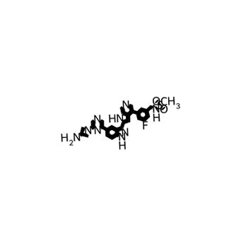 CS(=O)(=O)NCc1cc(F)cc(-c2cncc3[nH]c(-c4n[nH]c5ccc(-c6cncc(N7CC(N)C7)n6)cc45)cc23)c1